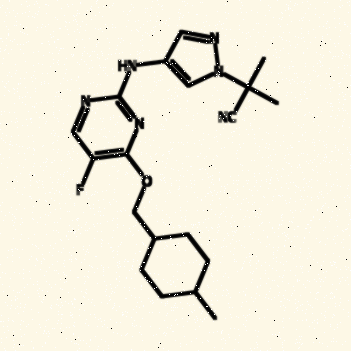 CC1CCC(COc2nc(Nc3cnn(C(C)(C)C#N)c3)ncc2F)CC1